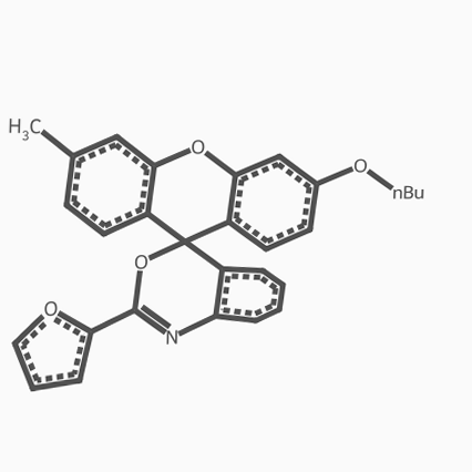 CCCCOc1ccc2c(c1)Oc1cc(C)ccc1C21OC(c2ccco2)=Nc2ccccc21